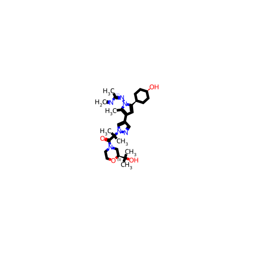 C=N/C(C)=N\n1c(C)c(-c2cnn(C(C)(C)C(=O)N3CCO[C@H](C(C)(C)O)C3)c2)cc1[C@H]1CC[C@H](O)CC1